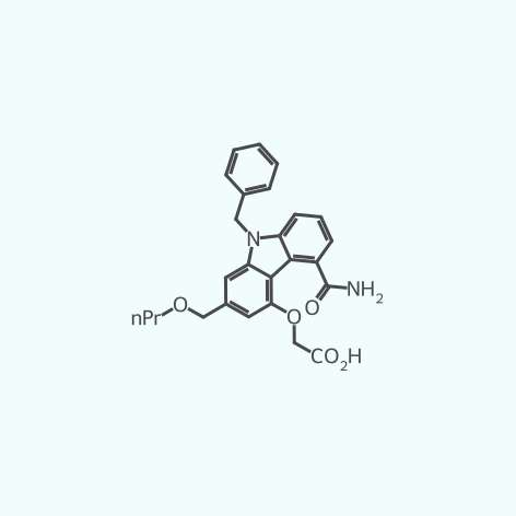 CCCOCc1cc(OCC(=O)O)c2c3c(C(N)=O)cccc3n(Cc3ccccc3)c2c1